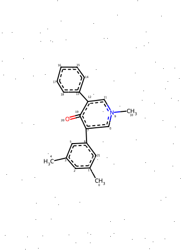 Cc1cc(C)cc(-c2cn(C)cc(-c3ccccc3)c2=O)c1